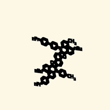 CCCCc1ccc(-c2oc3c(ccc4c3ccc3c(N(c5ccc(C)cc5)c5ccc(-c6ccc(CCC)cc6)cc5)c(-c5ccc(CCCC)cc5)oc34)c2N(c2ccc(C)cc2)c2ccc(-c3ccc(CCC)cc3)cc2)cc1